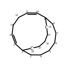 C1=CC2CCCCCCC(C=CCC1)CCCCC2